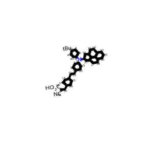 CC(C)(C)c1ccc(N(c2ccc(/C=C/c3ccc(/C=C(/C#N)C(=O)O)cc3)cc2)c2cc3ccc4cccc5ccc(c2)c3c45)cc1